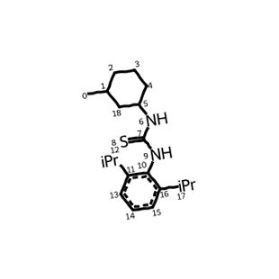 CC1CCCC(NC(=S)Nc2c(C(C)C)cccc2C(C)C)C1